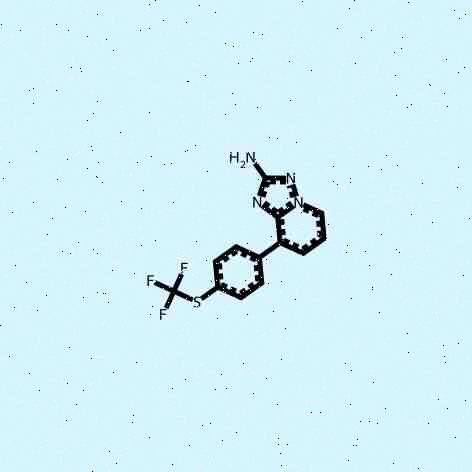 Nc1nc2c(-c3ccc(SC(F)(F)F)cc3)cccn2n1